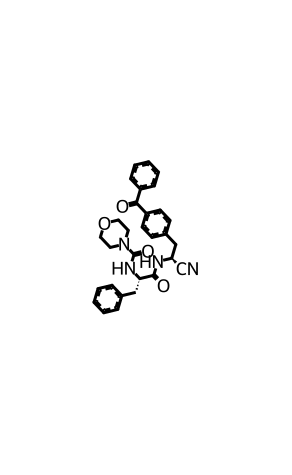 N#C[C@H](Cc1ccc(C(=O)c2ccccc2)cc1)NC(=O)[C@H](Cc1ccccc1)NC(=O)N1CCOCC1